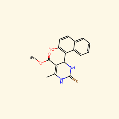 CC1=C(C(=O)OC(C)C)C(c2c(O)ccc3ccccc23)NC(=S)N1